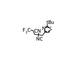 [C-]#[N+]C(C#N)(CCC(F)(F)F)Cc1csc(C(C)(C)C)n1